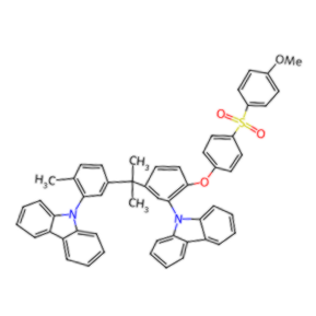 COc1ccc(S(=O)(=O)c2ccc(Oc3ccc(C(C)(C)c4ccc(C)c(-n5c6ccccc6c6ccccc65)c4)cc3-n3c4ccccc4c4ccccc43)cc2)cc1